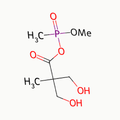 COP(C)(=O)OC(=O)C(C)(CO)CO